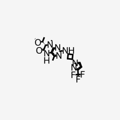 COC(C)[C@H]1C(=O)Nc2c(C)nc(N[C@H]3C[C@H](n4ccc(C(F)(F)F)n4)C3)nc2N1C